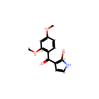 COc1ccc(C(=O)c2cc[nH]c2Br)c(OC)c1